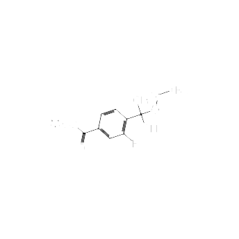 COC(=O)c1ccc(C(C)(C)O[SiH2]C(C)(C)C)c(F)c1